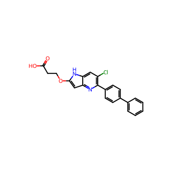 O=C(O)CCOc1cc2nc(-c3ccc(-c4ccccc4)cc3)c(Cl)cc2[nH]1